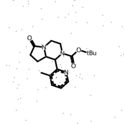 Cc1cccnc1C1C2CCC(=O)N2CCN1C(=O)OC(C)(C)C